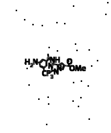 COC(=O)c1cc2c(N[C@H](C)c3cc(N)cc(C(F)(F)F)c3)nc(C)nn2c1